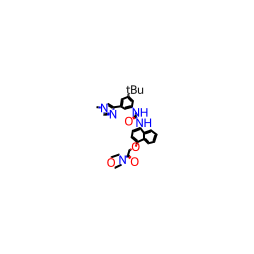 Cn1cnc(-c2cc(NC(=O)Nc3ccc(OCC(=O)N4CCOCC4)c4ccccc34)cc(C(C)(C)C)c2)c1